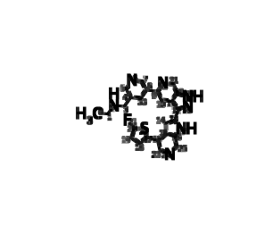 CCNCc1cncc(-c2cc3c(-c4cc5c(-c6ccc(F)s6)cncc5[nH]4)n[nH]c3cn2)c1